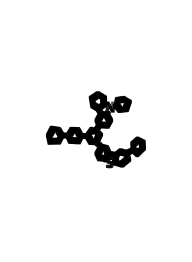 c1ccc(-c2ccc(-c3cc(-c4ccc5sc6ccc(-c7ccccc7)cc6c5c4)cc(-c4ccc5c(c4)c4ccccc4n5-c4ccccc4)c3)cc2)cc1